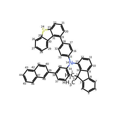 CC1(C)c2ccccc2-c2cccc(N(c3ccc(-c4cccc5sc6ccccc6c45)cc3)c3cccc(-c4ccc5ccccc5c4)c3)c21